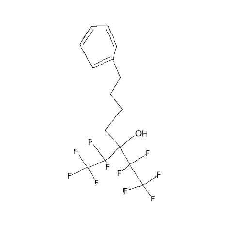 OC(CCCCc1ccccc1)(C(F)(F)C(F)(F)F)C(F)(F)C(F)(F)F